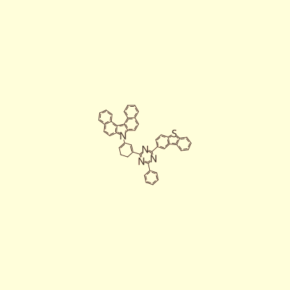 C1=C(c2nc(-c3ccccc3)nc(-c3ccc4sc5ccccc5c4c3)n2)CCC=C1n1c2ccc3ccccc3c2c2c3ccccc3ccc21